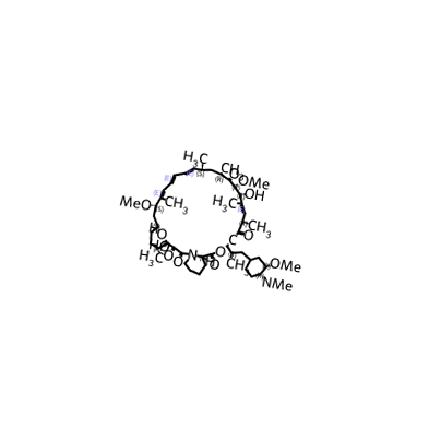 CN[C@@H]1CCC(C[C@@H](C)C2CC(=O)[C@H](C)/C=C(\C)[C@@H](O)[C@@H](OC)C(=O)[C@H](C)C[C@H](C)/C=C/C=C/C=C(\C)[C@@H](OC)C[C@@H]3CC[C@@H](C)[C@@](O)(O3)C(=O)C(=O)N3CCCC[C@H]3C(=O)O2)C[C@H]1OC